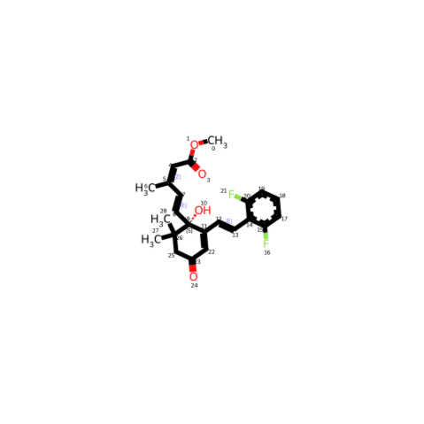 COC(=O)/C=C(C)\C=C\[C@@]1(O)C(/C=C/c2c(F)cccc2F)=CC(=O)CC1(C)C